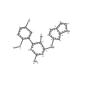 COc1ccc(Cl)cc1-c1nc(N)nc(Nc2ccc3cn[nH]c3c2)c1Br